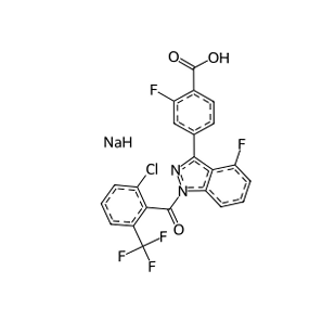 O=C(O)c1ccc(-c2nn(C(=O)c3c(Cl)cccc3C(F)(F)F)c3cccc(F)c23)cc1F.[NaH]